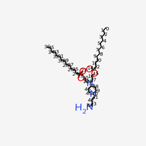 CCCCCCCCCCCCCC(=O)OCCN(CCOC(=O)CCCCCCCCCCCCC)C1CCN(CCCN)CC1